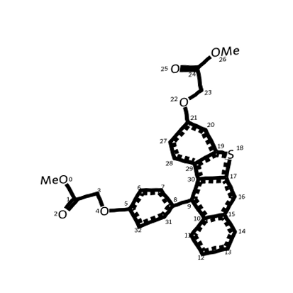 COC(=O)COc1ccc(-c2c3ccccc3cc3sc4cc(OCC(=O)OC)ccc4c23)cc1